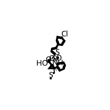 CSC[C@@]1(c2ccccc2)C[C@]1(NS(=O)(=O)c1ccc(-c2ccc(Cl)cc2)s1)C(=O)O